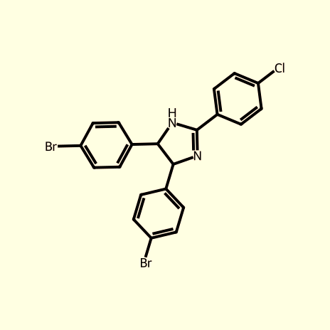 Clc1ccc(C2=NC(c3ccc(Br)cc3)C(c3ccc(Br)cc3)N2)cc1